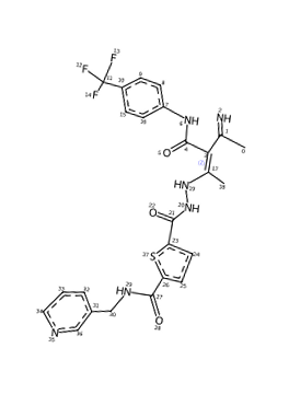 CC(=N)/C(C(=O)Nc1ccc(C(F)(F)F)cc1)=C(\C)NNC(=O)c1ccc(C(=O)NCc2cccnc2)s1